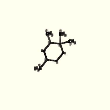 CC1[CH]C(C)C(C)(C)CC1